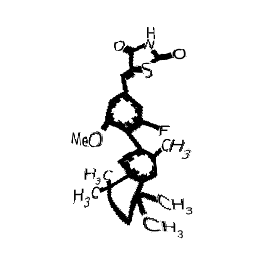 COc1cc(/C=C2\SC(=O)NC2=O)cc(F)c1-c1cc2c(cc1C)C(C)(C)CCC2(C)C